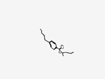 CCCCc1ccc(C(=O)OC(C)CCC)cc1